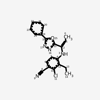 C/C=C(/Nc1ccc(C#N)c(Cl)c1CC)c1nnc(-c2ccccc2)o1